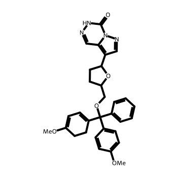 COC1=CC=C(C(OCC2CCC(c3cnn4c(=O)[nH]ncc34)O2)(c2ccccc2)c2ccc(OC)cc2)CC1